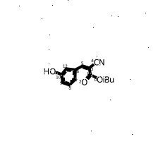 CC(C)COC(=O)C(C#N)=Cc1cccc(O)c1